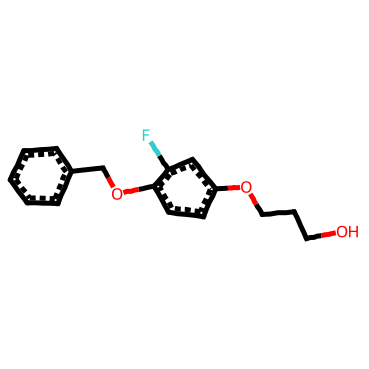 OCCCOc1ccc(OCc2ccccc2)c(F)c1